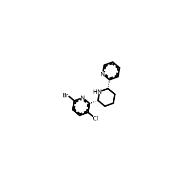 Clc1ccc(Br)nc1[C@H]1CCC[C@@H](c2ccccn2)N1